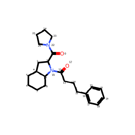 O=C(C1CC2CCCCC2N1C(=O)CCCc1ccccc1)N1CCCC1